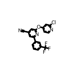 N#Cc1cc(Oc2ccnc(Cl)c2)nc(-c2cccc(C(F)(F)F)c2)c1